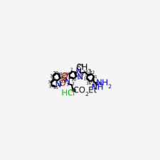 CCOC(=O)CCCN(c1ccc2c(c1)nc(Cc1ccc(C(=N)N)cc1)n2C)S(=O)(=O)c1cccc2cccnc12.Cl